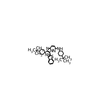 CC(C)(C)C1CCC(Nc2ccc3nc(C4(N)CCC(C(C)(C)C)CC4)c(-c4cc5ccccc5s4)n3n2)CC1